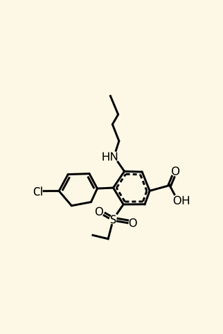 CCCCNc1cc(C(=O)O)cc(S(=O)(=O)CC)c1C1=CC=C(Cl)CC1